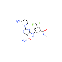 CN(C)C(=O)c1cc(Nc2nc(N3CCCC(N)C3)ncc2C(N)=O)cc(C(F)(F)F)c1